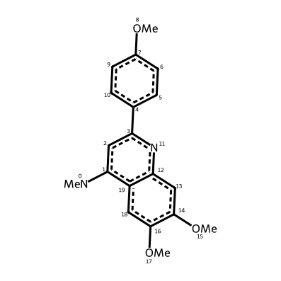 CNc1cc(-c2ccc(OC)cc2)nc2cc(OC)c(OC)cc12